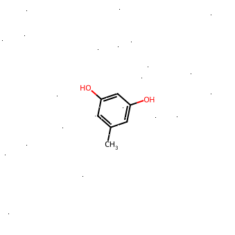 Cc1[c]c(O)cc(O)c1